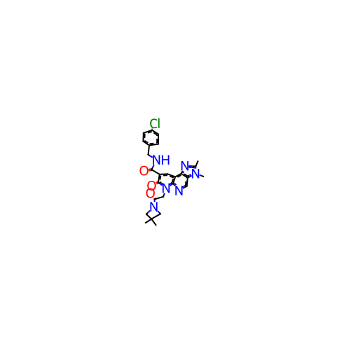 Cc1nc2c3cc(C(=O)NCc4ccc(Cl)cc4)c(=O)n(CC(=O)N4CC(C)(C)C4)c3ncc2n1C